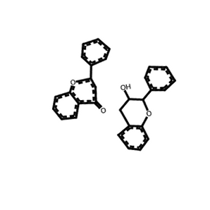 O=c1cc(-c2ccccc2)oc2ccccc12.OC1Cc2ccccc2OC1c1ccccc1